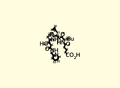 CC[C@H](C)[C@H](NC(=O)CCCC(=O)O)C(=O)N[C@@H](CC1CC1)C(=O)N[C@@H](CC(C)C)[C@@H](O)CC(=O)NCc1ccccn1